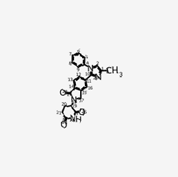 Cc1cn(-c2ccccc2)c(-c2ccc3c(c2)CN(C2CCC(=O)NC2=O)C3=O)n1